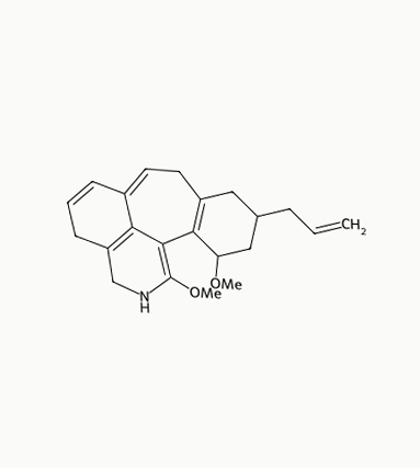 C=CCC1CC2=C(C3=C(OC)NCC4=C3C(=CC2)C=CC4)C(OC)C1